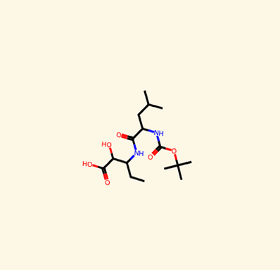 CCC(NC(=O)C(CC(C)C)NC(=O)OC(C)(C)C)C(O)C(=O)O